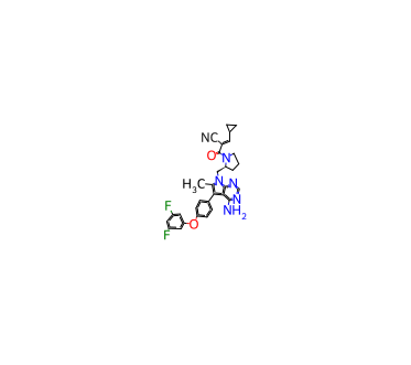 Cc1c(-c2ccc(Oc3cc(F)cc(F)c3)cc2)c2c(N)ncnc2n1C[C@@H]1CCCN1C(=O)C(C#N)=CC1CC1